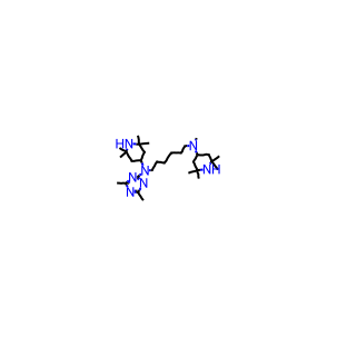 Cc1nc(C)nc(N(CCCCCCN(C)C2CC(C)(C)NC(C)(C)C2)C2CC(C)(C)NC(C)(C)C2)n1